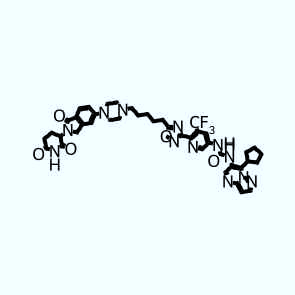 O=C1CCC(N2Cc3cc(N4CCN(CCCCCc5nc(-c6ncc(NC(=O)Nc7cnc8ccnn8c7C7CCCC7)cc6C(F)(F)F)no5)CC4)ccc3C2=O)C(=O)N1